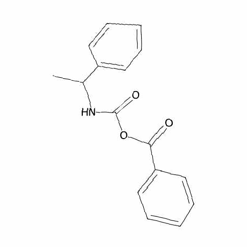 CC(NC(=O)OC(=O)c1ccccc1)c1ccccc1